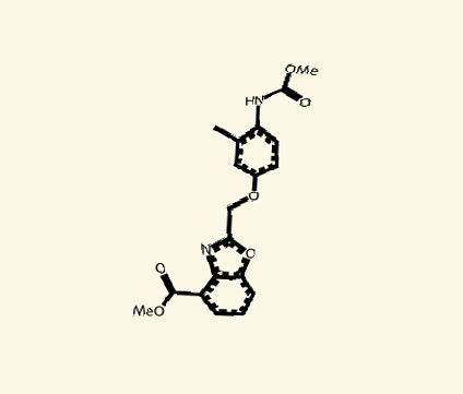 COC(=O)Nc1ccc(OCc2nc3c(C(=O)OC)cccc3o2)cc1C